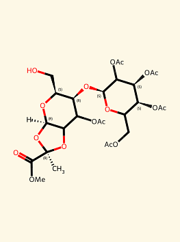 COC(=O)[C@]1(C)OC2C(OC(C)=O)[C@H](O[C@@H]3OC(COC(C)=O)[C@H](OC(C)=O)[C@H](OC(C)=O)C3OC(C)=O)[C@H](CO)O[C@@H]2O1